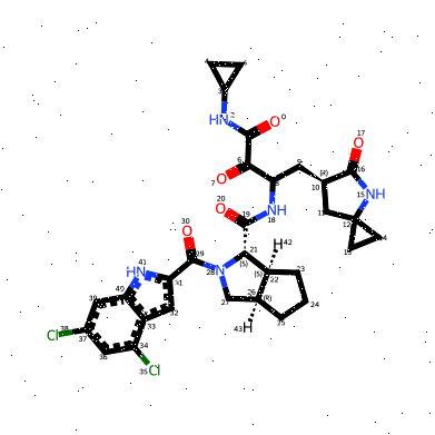 O=C(NC1CC1)C(=O)C(C[C@@H]1CC2(CC2)NC1=O)NC(=O)[C@@H]1[C@H]2CCC[C@H]2CN1C(=O)c1cc2c(Cl)cc(Cl)cc2[nH]1